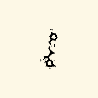 Fc1cccc(CNCC2CC2c2c[nH]c3ccc(F)cc23)c1